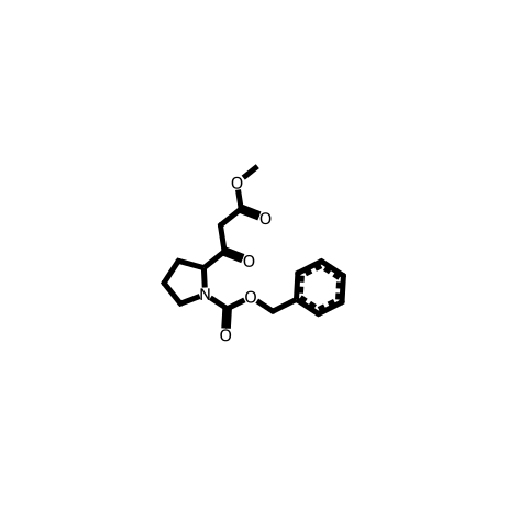 COC(=O)CC(=O)C1CCCN1C(=O)OCc1ccccc1